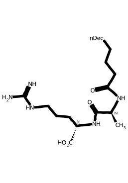 CCCCCCCCCCCCCC(=O)N[C@@H](C)C(=O)N[C@@H](CCCNC(=N)N)C(=O)O